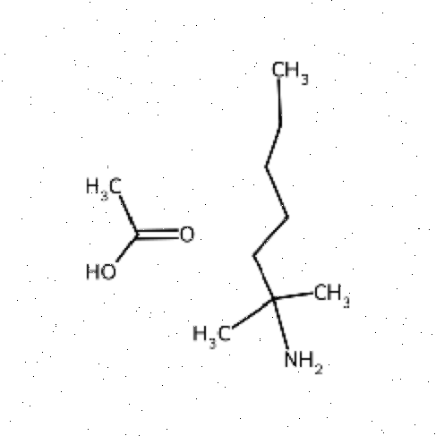 CC(=O)O.CCCCCC(C)(C)N